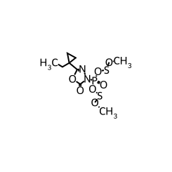 CCC1(c2nn(P(=O)(OSOC)OSOC)c(=O)o2)CC1